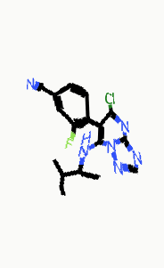 CC(C)C(C)Nc1c(-c2ccc(C#N)cc2F)c(Cl)nc2ncnn12